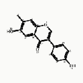 Cc1cc2occ(-c3ccc(O)cc3)c(=O)c2cc1O